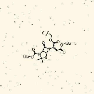 CC(C)(C)OC(=O)C=C(C(=O)OCC(Cl)(Cl)Cl)N1C(=O)C2C1SC(C)(C)N2C(=O)OC(C)(C)C